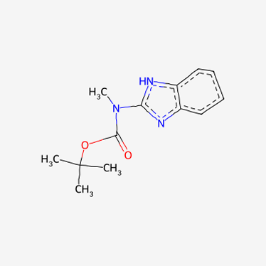 CN(C(=O)OC(C)(C)C)c1nc2ccccc2[nH]1